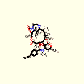 C#Cc1ccc(CN(C)[C@H]2C[C@@H](C)O[C@@H](O[C@@H]3[C@@H](C)C(=O)[C@@H](C)C(=O)O[C@H](CC)[C@@]4(C)OC(=O)N5CCN=C([C@H](C)C[C@@]3(C)OC)[C@H](C)[C@@H]54)[C@H]2O)cc1